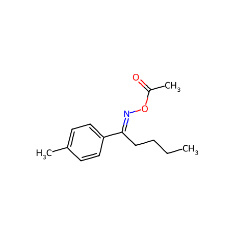 CCCCC(=NOC(C)=O)c1ccc(C)cc1